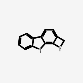 c1ccc2c(c1)[nH]c1c3c(ccc12)CN3